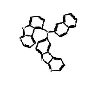 c1ccc2cc(N(c3ccc4oc5ncccc5c4c3)c3cccc4oc5ncccc5c34)ccc2c1